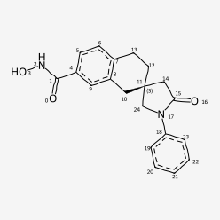 O=C(NO)c1ccc2c(c1)C[C@@]1(CC2)CC(=O)N(c2ccccc2)C1